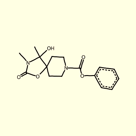 CN1C(=O)OC2(CCN(C(=O)Oc3ccccc3)CC2)C1(C)O